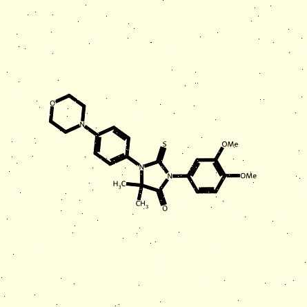 COc1ccc(N2C(=O)C(C)(C)N(c3ccc(N4CCOCC4)cc3)C2=S)cc1OC